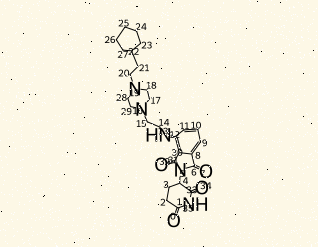 O=C1CCC(N2C(=O)c3cccc(NCCN4CCN(CCC5CCCCC5)CC4)c3C2=O)C(=O)N1